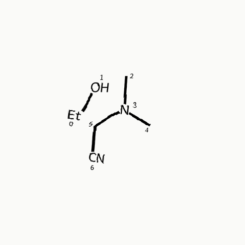 CCO.CN(C)CC#N